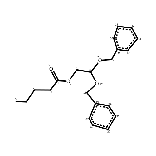 CCCCC(=O)OCC(OCc1ccccc1)OCc1ccccc1